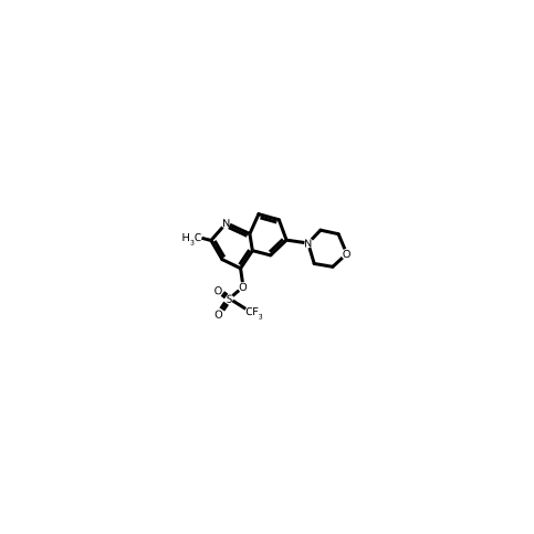 Cc1cc(OS(=O)(=O)C(F)(F)F)c2cc(N3CCOCC3)ccc2n1